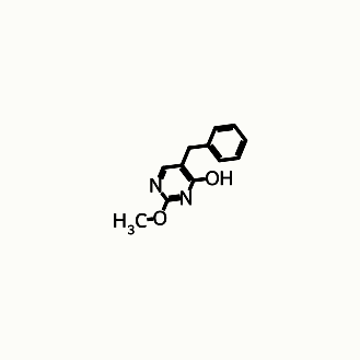 COc1ncc(Cc2ccccc2)c(O)n1